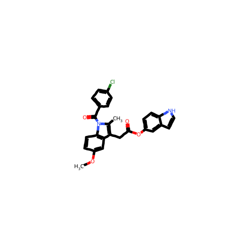 COc1ccc2c(c1)c(CC(=O)Oc1ccc3[nH]ccc3c1)c(C)n2C(=O)c1ccc(Cl)cc1